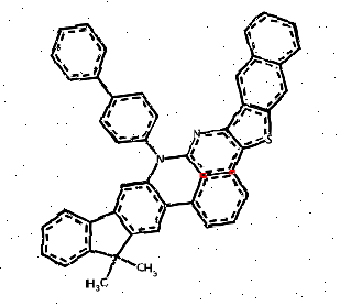 CC1(C)c2ccccc2-c2cc(N(c3ccc(-c4ccccc4)cc3)c3ccc4sc5cc6ccccc6cc5c4n3)c(-c3ccccc3)cc21